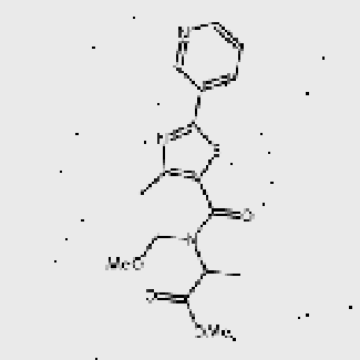 COCN(C(=O)c1sc(-c2cccnc2)nc1C)C(C)C(=O)OC